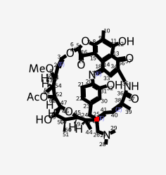 CO[C@H]1/C=C/O[C@@]2(C)Oc3c(C)c(O)c4c(c3C2=O)/C(=N/c2ccc(CCCN(C)C)cc2O)C=C(NC(=O)/C(C)=C\C=C\[C@H](C)[C@@H]2O[C@H]([C@H](O)[C@@H]2C)[C@H](OC(C)=O)[C@@H]1C)C4=O